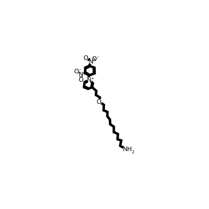 NCCCCCCCCCCCCOCCCc1ccc[n+](-c2ccc([N+](=O)[O-])cc2[N+](=O)[O-])c1